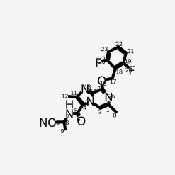 Cc1cn2c(C(=O)NC(C)C#N)c(C)nc2c(OCc2c(F)cccc2F)n1